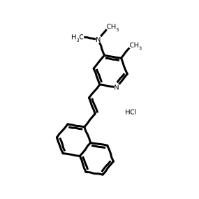 Cc1cnc(C=Cc2cccc3ccccc23)cc1N(C)C.Cl